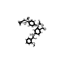 COc1ccccc1[C@H](C)Nc1ccc(C=O)c(N(C(C)=O)c2ccc(S(=O)(=O)CC3CC3)cc2)c1